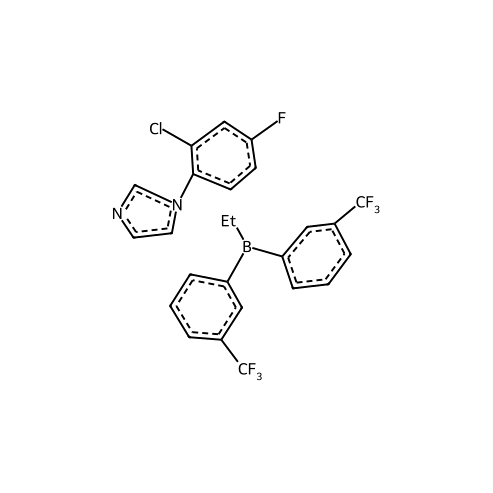 CCB(c1cccc(C(F)(F)F)c1)c1cccc(C(F)(F)F)c1.Fc1ccc(-n2ccnc2)c(Cl)c1